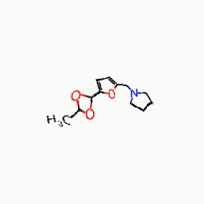 CC1OC(c2ccc(CN3CCCC3)o2)O1